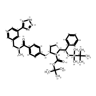 CN(Cc1cncc(-c2nn[nH]n2)c1)C(=O)c1ccc(C[C@@H]2CC[C@H]([C@H](O[Si](C)(C)C(C)(C)C)c3ccccc3)N2C(=O)OC(C)(C)C)cc1